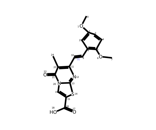 COc1ccc(OC)c(/C=C/c2nc3sc(C(=O)O)cn3c(=O)c2C)c1